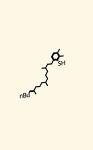 CCCC/C=C(\C)CCCC(C)CCCC(C)CCc1ccc(C)c(C)c1S